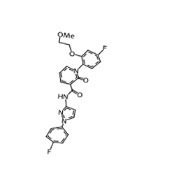 COCCOc1cc(F)ccc1-n1cccc(C(=O)Nc2ccn(-c3ccc(F)cc3)n2)c1=O